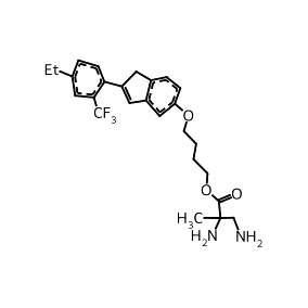 CCc1ccc(C2=Cc3cc(OCCCCOC(=O)C(C)(N)CN)ccc3C2)c(C(F)(F)F)c1